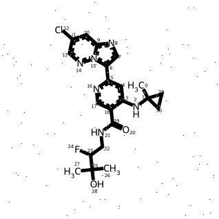 CC1(Nc2cc(-c3cnc4cc(Cl)cnn34)ncc2C(=O)NCC(F)C(C)(C)O)CC1